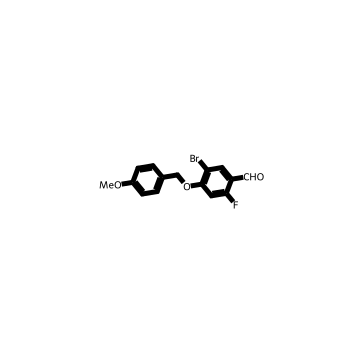 COc1ccc(COc2cc(F)c(C=O)cc2Br)cc1